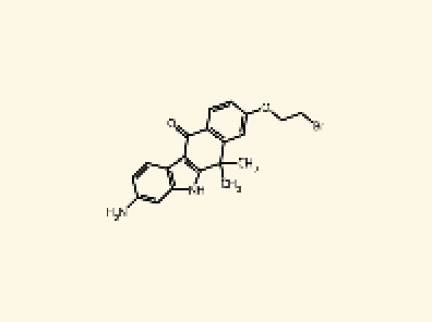 CC1(C)c2cc(OCCBr)ccc2C(=O)c2c1[nH]c1cc(N)ccc21